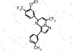 CCOc1cc(-c2cc(C(F)(F)F)n3ncc(-c4ccnc(C)c4)c3n2)ccc1C(F)(F)F